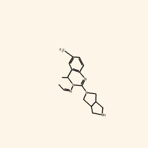 C/C=N\N1C(N2CC3CNCC3C2)=Nc2ccc(C(F)(F)F)cc2C1C